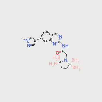 BC1(B)CCC(B)(B)N1CC(=O)Nc1ncc2ccc(-c3cnn(C)c3)cc2n1